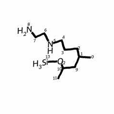 CC(CCCNCCN)CC(C)O[SiH3]